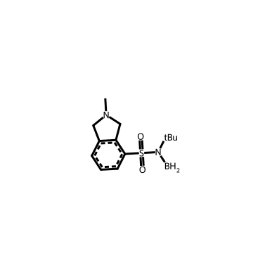 BN(C(C)(C)C)S(=O)(=O)c1cccc2c1CN(C)C2